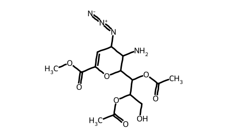 COC(=O)C1=CC(N=[N+]=[N-])C(N)C(C(OC(C)=O)C(CO)OC(C)=O)O1